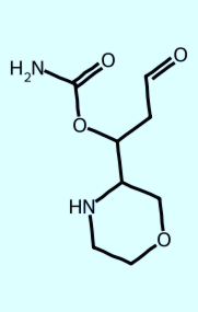 NC(=O)OC(CC=O)C1COCCN1